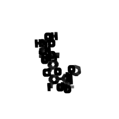 O=C(O)Nc1csc(S(=O)(=O)c2cc(Cl)c(Oc3ccc(F)cc3-c3cn(C4CCCCO4)nc3[N+](=O)[O-])cc2F)n1